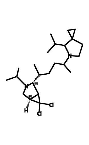 CC(C)C1N(C(C)CCC(C)[C@@H]2C3[C@H](CN2C(C)C)C3(Cl)Cl)CCC12CC2